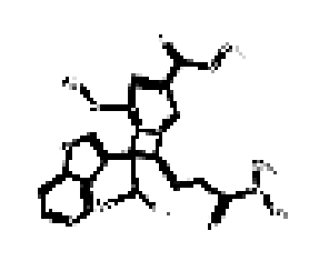 COC(=O)c1cc(OC)c2c(c1)/C(=C\CC(=O)N(C)C)C2(c1c[nH]c2ccccc12)C(C)C